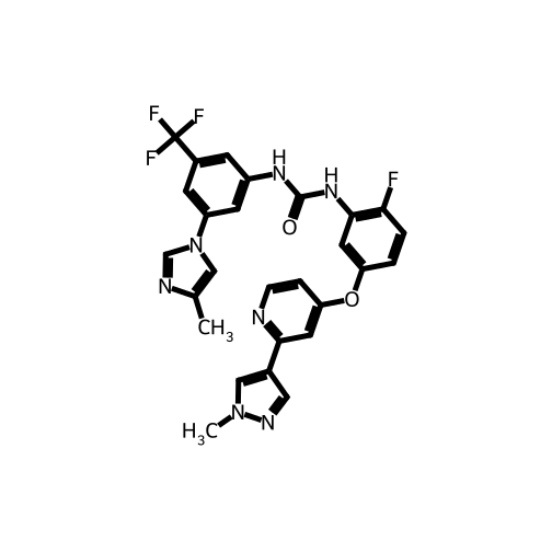 Cc1cn(-c2cc(NC(=O)Nc3cc(Oc4ccnc(-c5cnn(C)c5)c4)ccc3F)cc(C(F)(F)F)c2)cn1